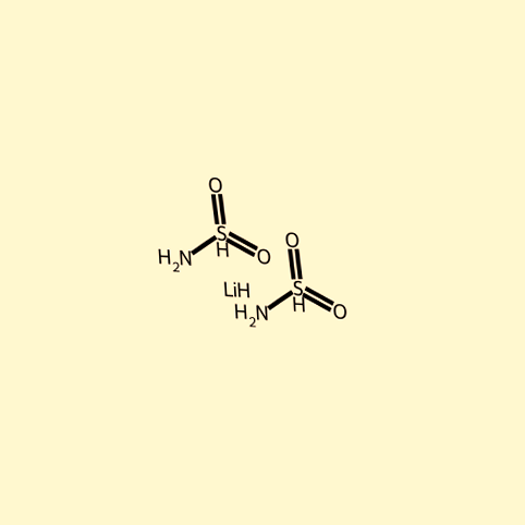 N[SH](=O)=O.N[SH](=O)=O.[LiH]